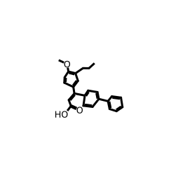 CCCc1cc(C(=CC(=O)O)c2ccc(-c3ccccc3)cc2)ccc1OC